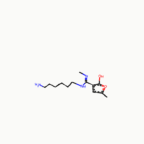 C/N=C(\NCCCCCCN)c1cc(C)oc1O